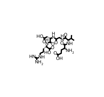 CC(C)[C@H](NC(=O)[C@@H](N)CCC(=O)O)C(=O)NCC(=O)N[C@@H](CC(=O)O)C(=O)N[C@@H](CCCNC(=N)N)C(=O)O